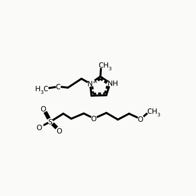 CCCC[n+]1cc[nH]c1C.COCCCOCCCS(=O)(=O)[O-]